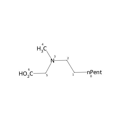 CCCCCCCN(C)CC(=O)O